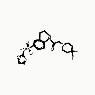 O=C(CN1CCC(F)(F)CC1)N1CCCc2cc(S(=O)(=O)Nc3nccs3)ccc21